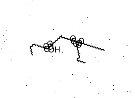 CCCCC/C=C\C/C=C\CCCCCCCC(=O)OC(CO)COC(=O)CCCCCCCCC(C)CCCCCCCC(=O)OCC(COC(=O)CCCCCCCCCCCCCCCCC)OC(=O)CCCCCCC/C=C\C/C=C\CCCCC